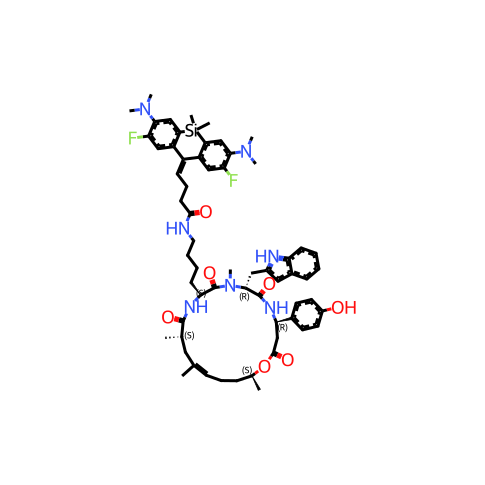 CC1=CCC[C@H](C)OC(=O)C[C@H](c2ccc(O)cc2)NC(=O)[C@@H](Cc2cc3ccccc3[nH]2)N(C)C(=O)[C@H](CCCCNC(=O)CCC=C2c3cc(F)c(N(C)C)cc3[Si](C)(C)c3cc(N(C)C)c(F)cc32)NC(=O)[C@@H](C)C1